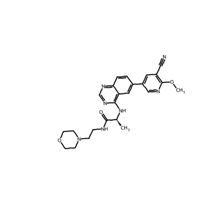 COc1ncc(-c2ccc3ncnc(N[C@@H](C)C(=O)NCCN4CCOCC4)c3c2)cc1C#N